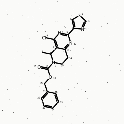 CC1c2c(Cl)nc(-c3cscn3)nc2CCN1C(=O)OCc1ccccc1